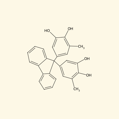 Cc1cc(C2(c3cc(C)c(O)c(O)c3)c3ccccc3-c3ccccc32)cc(O)c1O